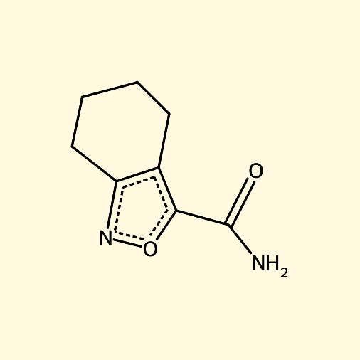 NC(=O)c1onc2c1CCCC2